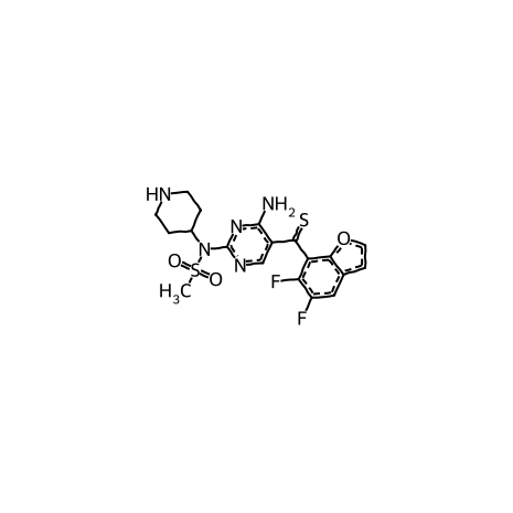 CS(=O)(=O)N(c1ncc(C(=S)c2c(F)c(F)cc3ccoc23)c(N)n1)C1CCNCC1